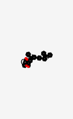 c1ccc(-n2c3ccc(-c4ccc(-c5cccc6c5c5ccccc5n6-c5ccccc5)cc4)cc3c3cc4c(cc32)C2(c3ccccc3Oc3ccccc32)c2ccccc2-4)cc1